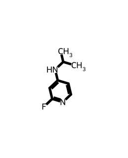 CC(C)Nc1ccnc(F)c1